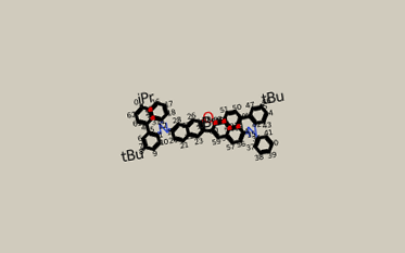 CC(C)c1ccc(-c2cc(C(C)(C)C)ccc2N(c2ccccc2)c2ccc3cc4c(cc3c2)oc2cc3cc(N(c5ccccc5)c5ccc(C(C)(C)C)cc5-c5ccc(C(C)(C)C)cc5)ccc3cc24)cc1